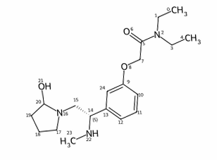 CCN(CC)C(=O)COc1cccc([C@@H](CN2CCCC2O)NC)c1